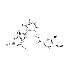 COc1ccc(C(O)CNc2cc[nH]c(=O)c2-c2nc3c(F)cc(F)cc3[nH]2)cc1Br